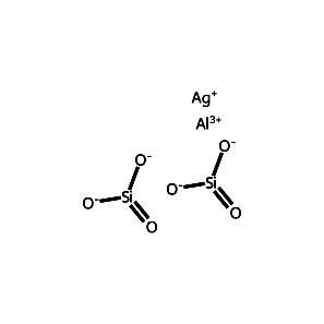 O=[Si]([O-])[O-].O=[Si]([O-])[O-].[Ag+].[Al+3]